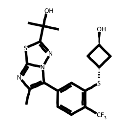 Cc1nc2sc(C(C)(C)O)nn2c1-c1ccc(C(F)(F)F)c(S[C@H]2C[C@H](O)C2)c1